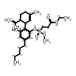 C=C(C)C1CCC(C)=CC1c1c(O)cc(CCCCC)cc1OP(=O)(CCC(=O)OCC)OC